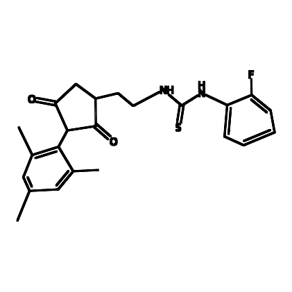 Cc1cc(C)c(C2C(=O)CC(CCNC(=S)Nc3ccccc3F)C2=O)c(C)c1